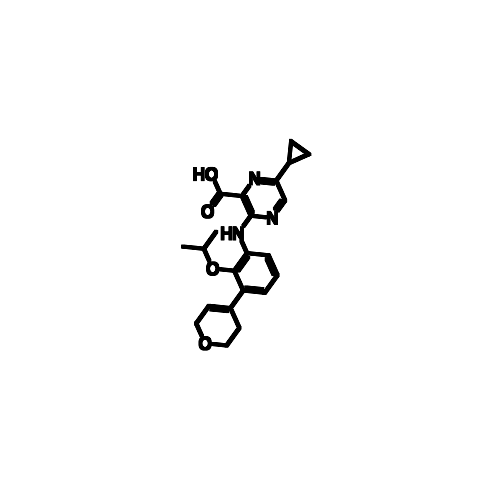 CC(C)Oc1c(Nc2ncc(C3CC3)nc2C(=O)O)cccc1C1=CCOCC1